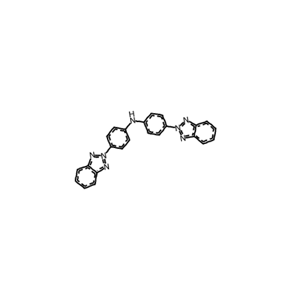 c1ccc2nn(-c3ccc(Nc4ccc(-n5nc6ccccc6n5)cc4)cc3)nc2c1